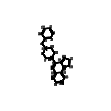 c1ccc(CN2CCN(c3nc4ncncc4n4cccc34)CC2)cc1